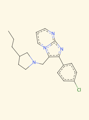 CCCC1CCN(Cc2c(-c3ccc(Cl)cc3)nc3ncccn23)C1